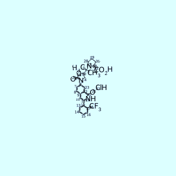 CC(C)([C@@H]1CN(c2ccc3cc(-c4ccccc4C(F)(F)F)[nH]c(=O)c3c2)C(=O)O1)N1CCC[C@H]1C(=O)O.Cl